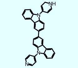 C1=CC(n2c3ccccc3c3cc(-c4ccc5c(c4)c4ccccc4n5-c4ccncc4)ccc32)=CCN1